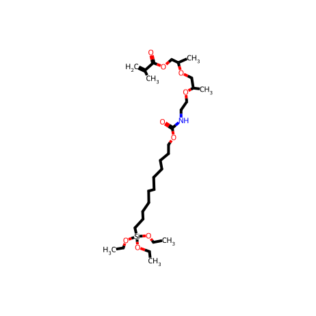 C=C(C)C(=O)OCC(C)OCC(C)OCCNC(=O)OCCCCCCCCCCC[Si](OCC)(OCC)OCC